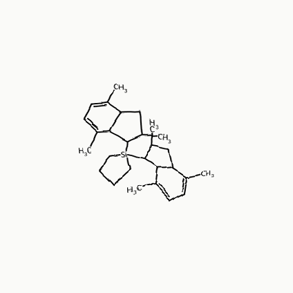 CC1=CC=C(C)C2C1CC(C)C2[Si]1(C2C(C)CC3C(C)=CC=C(C)C32)CCCC1